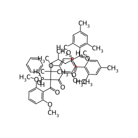 COc1cccc(OC)c1C(=O)C(C(=O)c1c(OC)cccc1OC)([PH](=O)c1ccccc1)C(C)(C)CC(C)CP(=O)(C(=O)c1c(C)cc(C)cc1C)C(=O)c1c(C)cc(C)cc1C